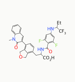 CCC(Nc1cc(F)c(C(=O)NC(Cc2ccc(-c3cc4ccccc4n(C)c3=O)c3c2COC3)C(=O)O)c(F)c1)C(F)(F)F